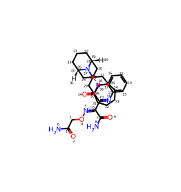 NC(=O)CO/N=C(\C(N)=O)c1nc2ccccc2n([C@H]2C[C@H]3CCC[C@@H](C2)N3C2CC3CCCCC(C3)C2)c1=O